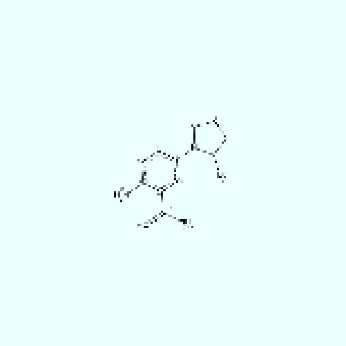 CCC1CCCN1c1ccc(N)c(C(N)=O)c1